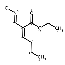 CCC/C=C(/C=N/O)C(=O)OCC